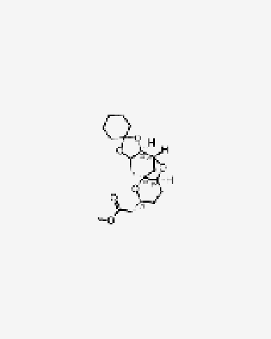 COC(=O)C[C@H]1CC[C@@H]2O[C@@H]3C[C@]2(CC2OC4(CCCCC4)O[C@H]23)O1